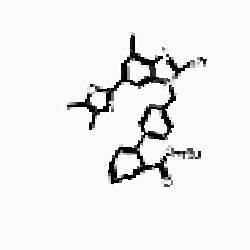 CCCc1nc2c(C)cc(-c3nc(C)c(C)o3)cc2n1Cc1ccc(-c2ccccc2C(=O)OC(C)(C)C)cc1